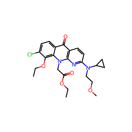 CCOC(=O)Cn1c2nc(N(CCOC)C3CC3)ccc2c(=O)c2ccc(Cl)c(OCC)c21